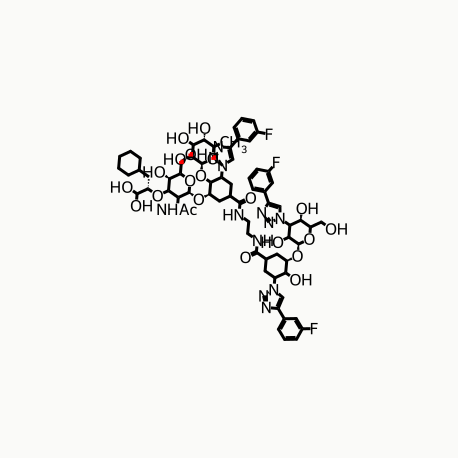 CC(=O)NC1C(O[C@@H](CC2CCCCC2)C(O)O)[C@@H](O)C(CO)O[C@H]1O[C@@H]1CC(C(=O)NCCNC(=O)C2CC(n3cc(-c4cccc(F)c4)nn3)C(O)[C@H](O[C@@H]3OC(CO)[C@H](O)C(n4cc(-c5cccc(F)c5)nn4)C3O)C2)CC(n2cc(-c3cccc(F)c3)nn2)C1O[C@@H]1OC(C)[C@@H](O)C(O)C1O